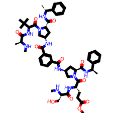 CN[C@@H](C)C(=O)NC(C(=O)N1C[C@@H](NC(=O)c2cccc(C(=O)N[C@H]3C[C@@H](C(=O)N[C@H](C)c4ccccc4)N(C(=O)[C@H](CCC(=O)OC)NC(=O)[C@H](CO)NC)C3)c2)C[C@H]1C(=O)N[C@H](C)c1ccccc1)C(C)(C)C